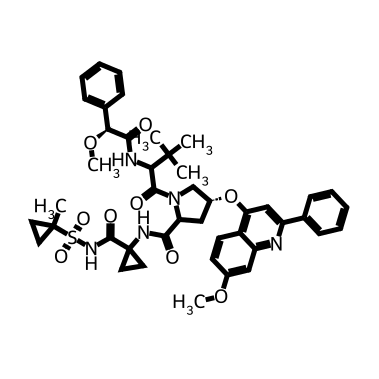 COc1ccc2c(O[C@@H]3CC(C(=O)NC4(C(=O)NS(=O)(=O)C5(C)CC5)CC4)N(C(=O)C(NC(=O)[C@@H](OC)c4ccccc4)C(C)(C)C)C3)cc(-c3ccccc3)nc2c1